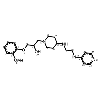 COc1ccccc1OCC(O)CN1CCC(NCCNc2ccncc2)CC1